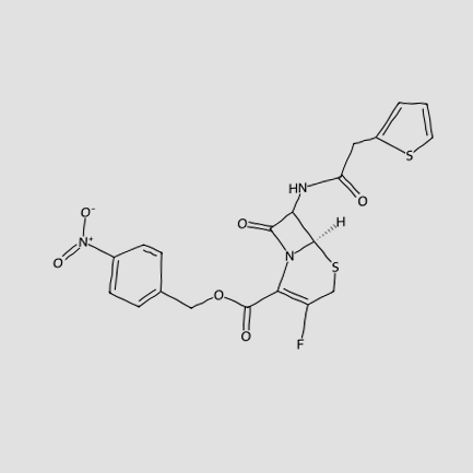 O=C(Cc1cccs1)NC1C(=O)N2C(C(=O)OCc3ccc([N+](=O)[O-])cc3)=C(F)CS[C@H]12